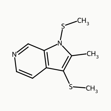 CSc1c(C)n(SC)c2cnccc12